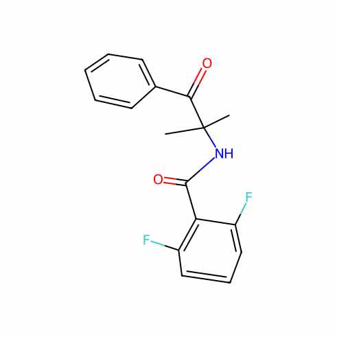 CC(C)(NC(=O)c1c(F)cccc1F)C(=O)c1ccccc1